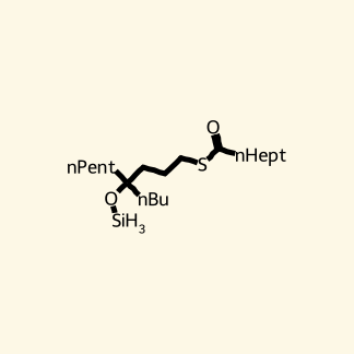 CCCCCCCC(=O)SCCCC(CCCC)(CCCCC)O[SiH3]